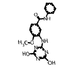 COc1ccc(C(=O)Nc2ccccc2)cc1Nc1nc(O)nc(O)n1